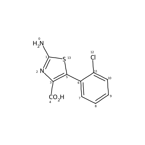 Nc1nc(C(=O)O)c(-c2ccccc2Cl)s1